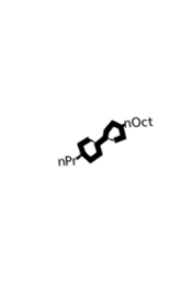 CCCCCCCC[C@H]1CC[C@H]([C@H]2CC[C@H](CCC)CC2)CC1